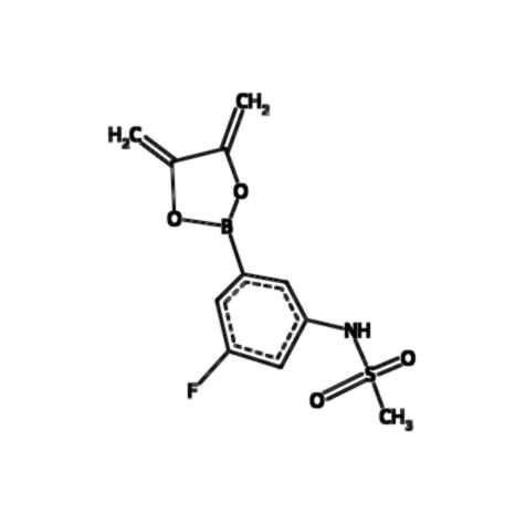 C=C1OB(c2cc(F)cc(NS(C)(=O)=O)c2)OC1=C